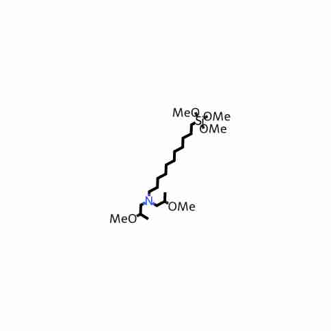 COC(C)CN(CCCCCCCCCCC[Si](OC)(OC)OC)CC(C)OC